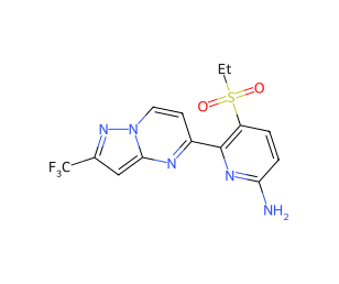 CCS(=O)(=O)c1ccc(N)nc1-c1ccn2nc(C(F)(F)F)cc2n1